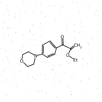 C=C(OCC)C(=O)c1ccc(N2CCOCC2)cc1